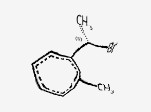 Cc1ccccc1[C@H](C)Br